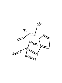 C=CC=CCCCC.CCCC(C)P(=NC1=CC=CC1)(C(C)CCC)C(C)CCC.[Ti]